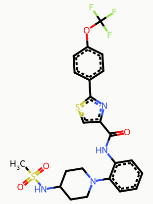 CS(=O)(=O)NC1CCN(c2ccccc2NC(=O)c2csc(-c3ccc(OC(F)(F)F)cc3)n2)CC1